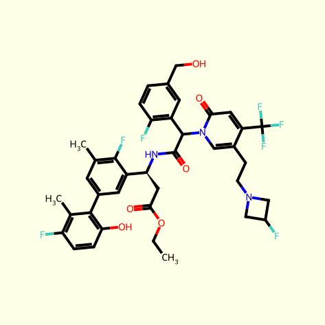 CCOC(=O)C[C@H](NC(=O)C(c1cc(CO)ccc1F)n1cc(CCN2CC(F)C2)c(C(F)(F)F)cc1=O)c1cc(-c2c(O)ccc(F)c2C)cc(C)c1F